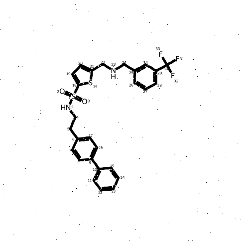 O=S(=O)(NCCc1ccc(-c2ccccc2)cc1)c1ccc(CNCc2cccc(C(F)(F)F)c2)s1